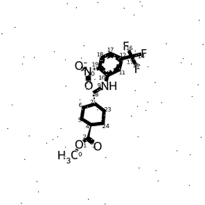 COC(=O)[C@H]1CC[C@H](CNc2cc(C(F)(F)F)ccc2[N+](=O)[O-])CC1